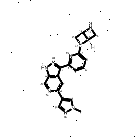 Cn1cc(-c2cc3c(-c4cccc(N5CC6NC[C@H]65)n4)n[nH]c3cn2)cn1